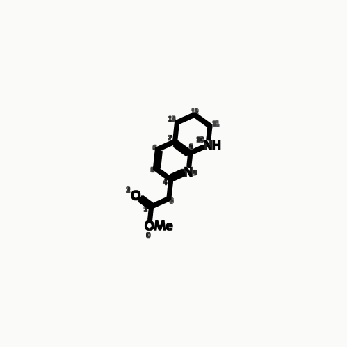 COC(=O)Cc1ccc2c(n1)NCCC2